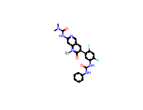 CCn1c(=O)c(-c2cc(NC(=O)Nc3ccccc3)c(F)cc2F)cc2cnc(NC(=O)N(C)C)cc21